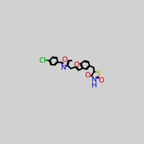 Cc1oc(-c2ccc(Cl)cc2)nc1Cc1cc2cc(CC3SC(=O)NC3=O)ccc2o1